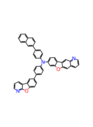 c1ccc2cc(-c3ccc(N(c4ccc(-c5ccc6oc7ncccc7c6c5)cc4)c4ccc5c(c4)oc4cc6cccnc6cc45)cc3)ccc2c1